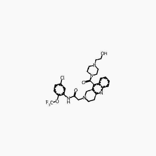 O=C(CN1CCc2nc3ccccc3c(C(=O)N3CCN(CCO)CC3)c2C1)Nc1cc(Cl)ccc1OC(F)(F)F